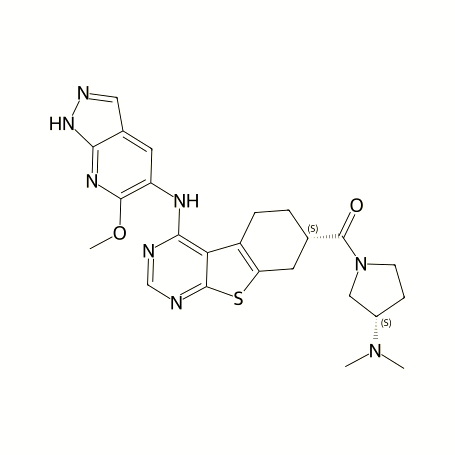 COc1nc2[nH]ncc2cc1Nc1ncnc2sc3c(c12)CC[C@H](C(=O)N1CC[C@H](N(C)C)C1)C3